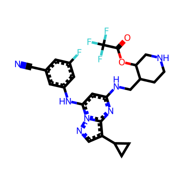 N#Cc1cc(F)cc(Nc2cc(NCC3CCNCC3OC(=O)C(F)(F)F)nc3c(C4CC4)cnn23)c1